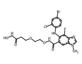 Cn1cnc2c(F)c(Nc3ccc(Br)cc3Cl)c(C(=O)NOCCOCCC(=O)NO)cc21